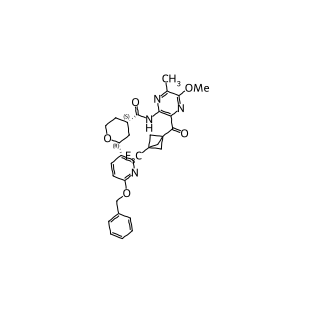 COc1nc(C(=O)C23CC(C(F)(F)F)(C2)C3)c(NC(=O)[C@H]2CCO[C@@H](c3ccc(OCc4ccccc4)nc3)C2)nc1C